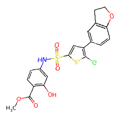 COC(=O)c1ccc(NS(=O)(=O)c2cc(-c3ccc4c(c3)CCO4)c(Cl)s2)cc1O